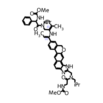 C/C=C(\N/C(CN(CCC)C(=O)C(NC(=O)OC)c1ccccc1)=C(\C)CC)c1ccc2c(c1)COc1cc3c(ccc4nc(CN(CC(C)C)C(=O)CNC(=O)OC)[nH]c43)cc1-2